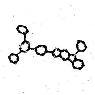 c1ccc(-c2nc(-c3ccccc3)nc(-c3ccc(-c4nc5cc6c(cc5s4)c4ccccc4n6-c4ccccc4)cc3)n2)cc1